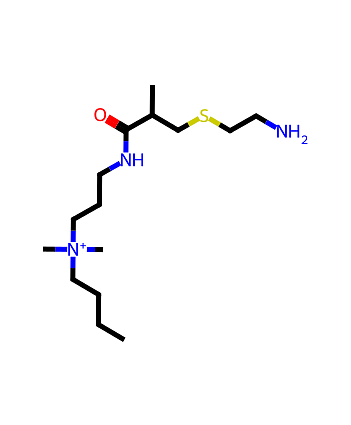 CCCC[N+](C)(C)CCCNC(=O)C(C)CSCCN